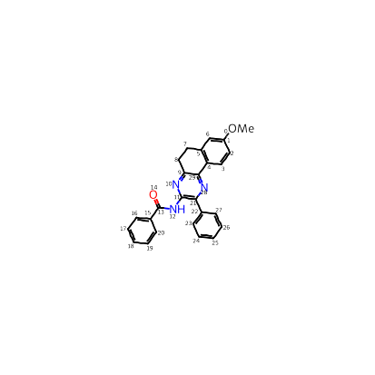 COc1ccc2c(c1)CCc1nc(NC(=O)c3ccccc3)c(-c3ccccc3)nc1-2